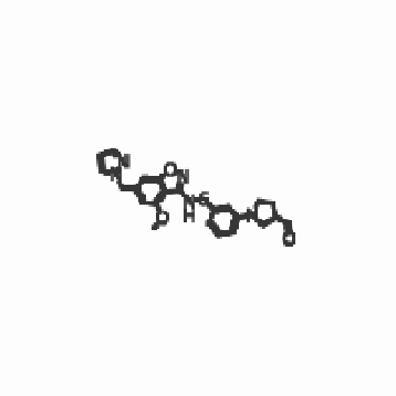 COc1cc(Cn2cccn2)cc2onc(NSc3cccc(N4CCC(C=O)C4)c3)c12